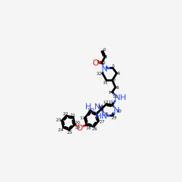 C=CC(=O)N1CCC(CCNC2=CC(N)(c3ccc(Oc4ccccc4)cc3)NC=N2)CC1